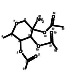 CC(=O)OC1C(C)OCC(N)(OC(C)=O)C1OC(C)=O